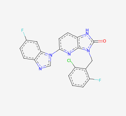 O=c1[nH]c2ccc(-n3cnc4ccc(F)cc43)nc2n1Cc1c(F)cccc1Cl